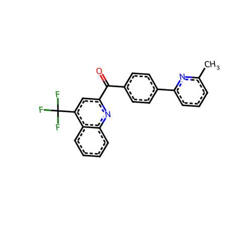 Cc1cccc(-c2ccc(C(=O)c3cc(C(F)(F)F)c4ccccc4n3)cc2)n1